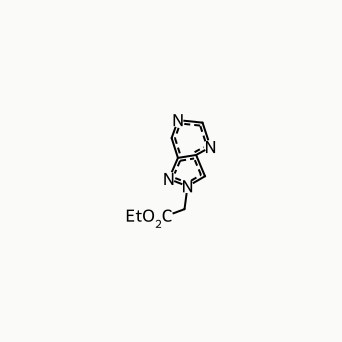 CCOC(=O)Cn1cc2ncncc2n1